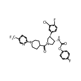 CN(C(=O)Oc1ccc(F)cc1)[C@@H]1CN(C(=O)C2CCN(c3ccc(C(F)(F)F)cn3)CC2)C[C@H]1c1ccc(F)c(Cl)c1